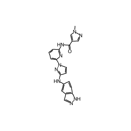 Cn1cc(C(=O)Nc2cccc(-n3ccc(Nc4ccc5[nH]ncc5c4)n3)n2)cn1